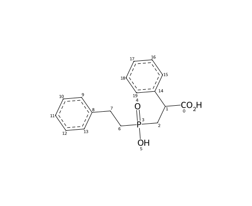 O=C(O)C(CP(=O)(O)CCc1ccccc1)c1ccccc1